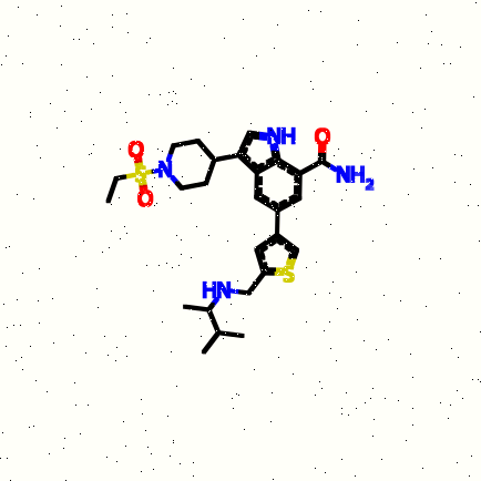 CCS(=O)(=O)N1CCC(c2c[nH]c3c(C(N)=O)cc(-c4csc(CNC(C)C(C)C)c4)cc23)CC1